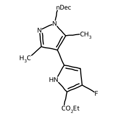 CCCCCCCCCCn1nc(C)c(-c2cc(F)c(C(=O)OCC)[nH]2)c1C